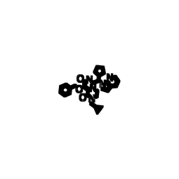 O=C1c2c(OCc3ccccc3)c(=O)nc(C(C3CCCC3)n3ccc4cccnc43)n2CCN1CC1CC1